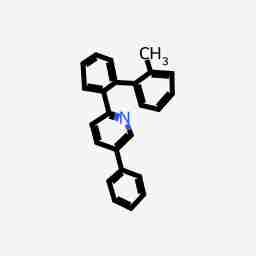 Cc1ccccc1-c1ccccc1-c1ccc(-c2ccccc2)cn1